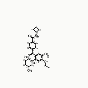 CCOc1cc2c(cc1OC)C(c1ccc(C(=O)NC3CCC3)cc1)=N[C@@H]1CC[C@@H](O)C[C@H]21